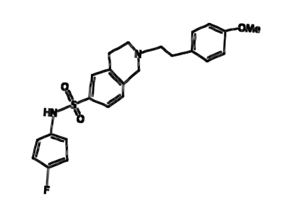 COc1ccc(CCN2CCc3cc(S(=O)(=O)Nc4ccc(F)cc4)ccc3C2)cc1